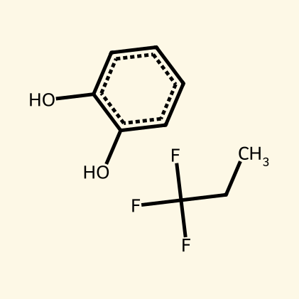 CCC(F)(F)F.Oc1ccccc1O